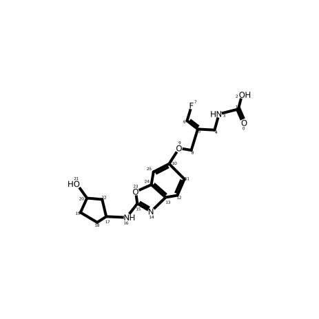 O=C(O)NCC(=CF)COc1ccc2nc(NC3CCC(O)C3)oc2c1